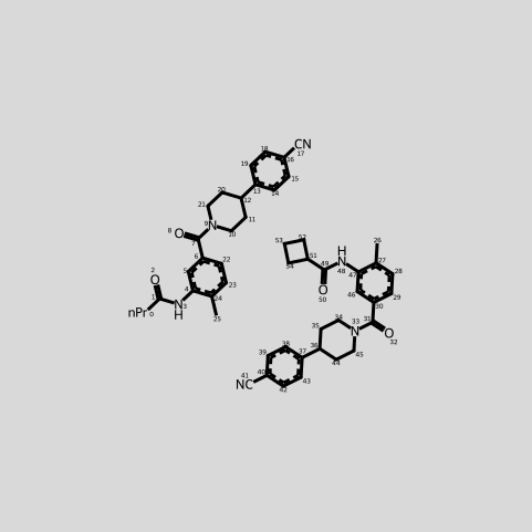 CCCC(=O)Nc1cc(C(=O)N2CCC(c3ccc(C#N)cc3)CC2)ccc1C.Cc1ccc(C(=O)N2CCC(c3ccc(C#N)cc3)CC2)cc1NC(=O)C1CCC1